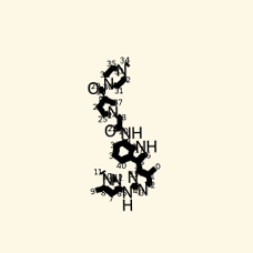 Cc1cnc(Nc2cc(C)n(C)n2)nc1-c1c[nH]c2c(NC(=O)CN3CC[C@@H](C(=O)N4CCN(C)CC4)C3)cccc12